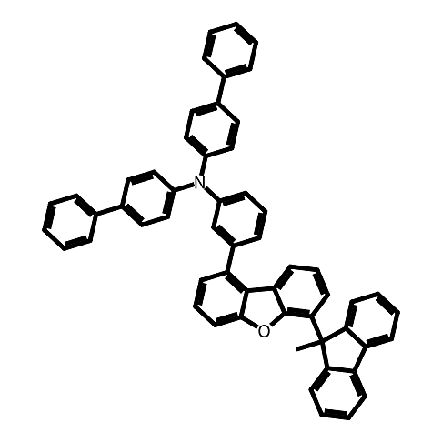 CC1(c2cccc3c2oc2cccc(-c4cccc(N(c5ccc(-c6ccccc6)cc5)c5ccc(-c6ccccc6)cc5)c4)c23)c2ccccc2-c2ccccc21